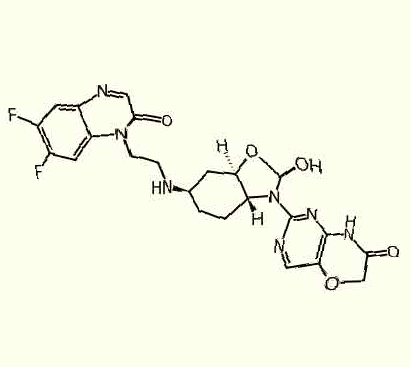 O=C1COc2cnc(N3C(O)O[C@@H]4C[C@H](NCCn5c(=O)cnc6cc(F)c(F)cc65)CC[C@H]43)nc2N1